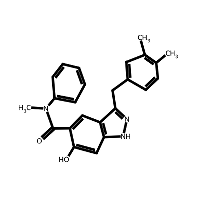 Cc1ccc(Cc2n[nH]c3cc(O)c(C(=O)N(C)c4ccccc4)cc23)cc1C